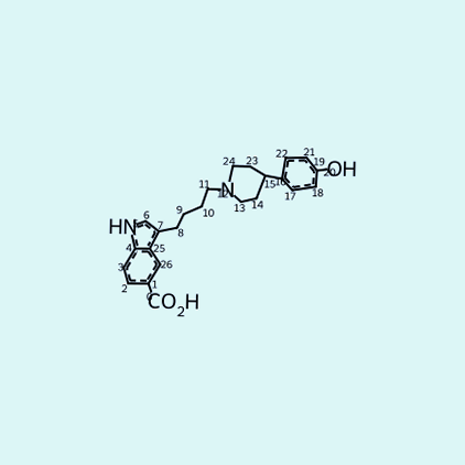 O=C(O)c1ccc2[nH]cc(CCCCN3CCC(c4ccc(O)cc4)CC3)c2c1